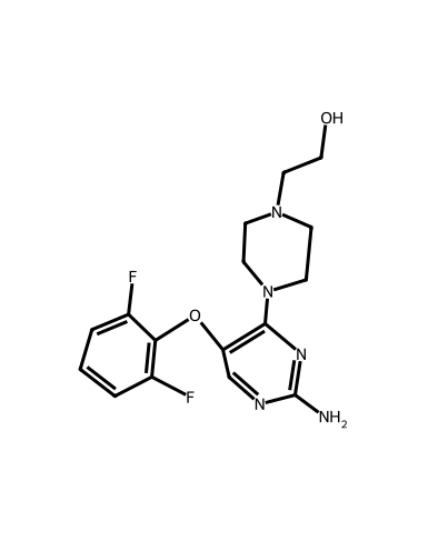 Nc1ncc(Oc2c(F)cccc2F)c(N2CCN(CCO)CC2)n1